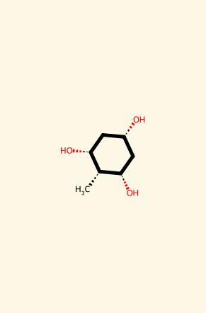 C[C@@H]1[C@H](O)C[C@H](O)C[C@@H]1O